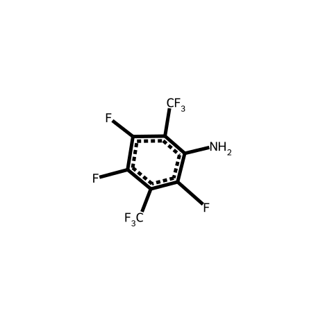 Nc1c(F)c(C(F)(F)F)c(F)c(F)c1C(F)(F)F